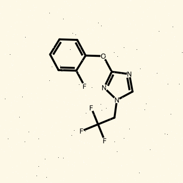 Fc1ccccc1Oc1ncn(CC(F)(F)F)n1